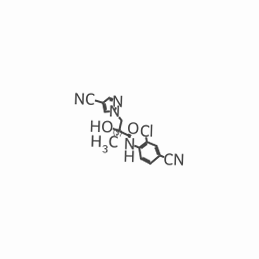 C[C@](O)(Cn1cc(C#N)cn1)C(=O)Nc1ccc(C#N)cc1Cl